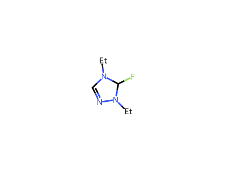 CCN1C=NN(CC)C1F